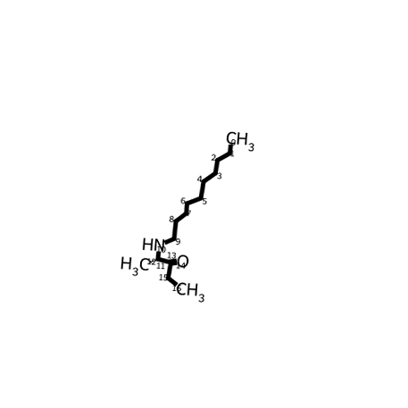 CCCCCCCCCCN[C@@H](C)C(=O)CC